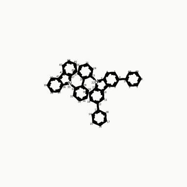 c1ccc(-c2ccc3c(c2)c2cc(-c4ccccc4)ccc2n3-c2ccccc2-c2ccccc2-n2c3ccccc3c3ccccc32)cc1